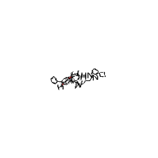 CN(CCCc1nc2c(Cl)cccc2[nH]1)CC[C@@]1(O)C[C@@H]2CC[C@H]1C=C2c1ccccc1